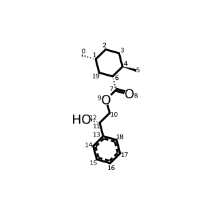 C[C@@H]1CC[C@@H](C)[C@H](C(=O)OC[C@@H](O)c2ccccc2)C1